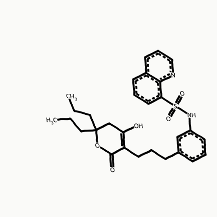 CCCC1(CCC)CC(O)=C(CCCc2cccc(NS(=O)(=O)c3cccc4cccnc34)c2)C(=O)O1